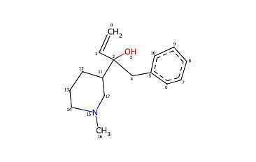 C=CC(O)(Cc1ccccc1)C1CCCN(C)C1